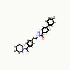 CC(c1ccc(CCNC(=O)c2ccc(-c3ccc(F)cc3)cc2)cc1)N1CCCCCC1